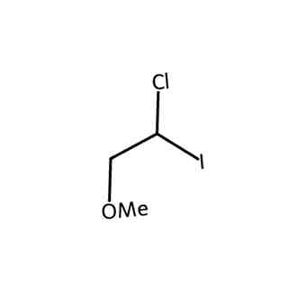 COCC(Cl)I